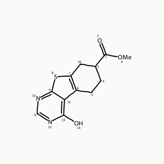 COC(=O)C1CCc2c(sc3ncnc(O)c23)C1